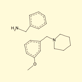 COc1cccc(CN2CCCCC2)c1.NCc1ccccc1